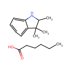 CC1Nc2ccccc2C1(C)C.CCCCCC(=O)O